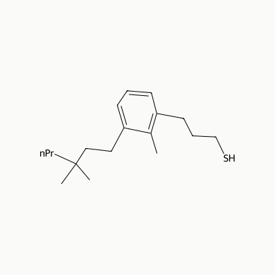 CCCC(C)(C)CCc1cccc(CCCS)c1C